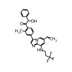 C=Cc1cc(NCCC(F)(F)F)c2ncc(-c3ccc(C(=O)C(O)c4ccccc4)c(C)c3)n2c1